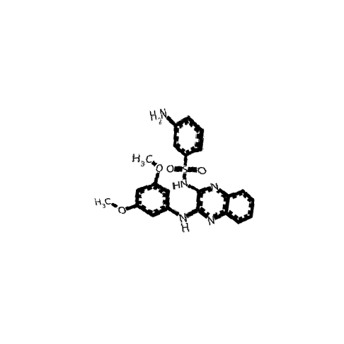 COc1cc(Nc2nc3ccccc3nc2NS(=O)(=O)c2cccc(N)c2)cc(OC)c1